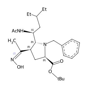 CCC(CC)C[C@H](NC(C)=O)[C@H]1[C@H](/C(C)=N\O)C[C@H](C(=O)OC(C)(C)C)N1Cc1ccccc1